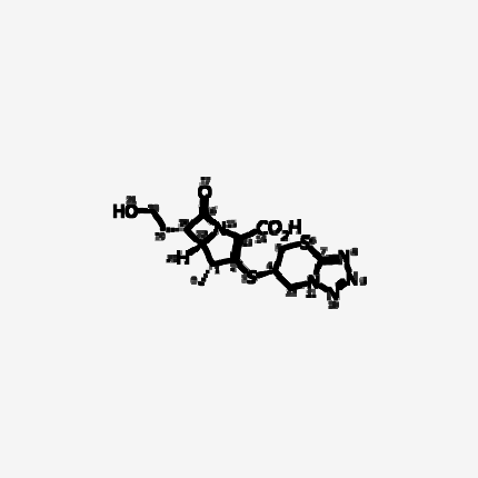 C[C@H]1C(S[C@H]2CSc3nnnn3C2)=C(C(=O)O)N2C(=O)[C@@H](CCO)[C@@H]12